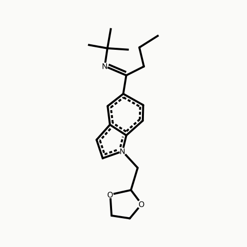 CCCC(=NC(C)(C)C)c1ccc2c(ccn2CC2OCCO2)c1